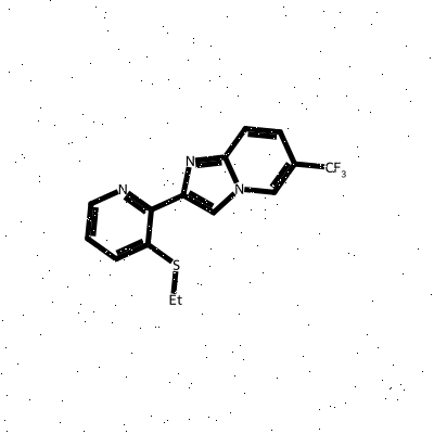 CCSc1cccnc1-c1cn2cc(C(F)(F)F)ccc2n1